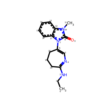 CCNC1=NC=C(n2c(=O)n(C)c3ccccc32)CCC1